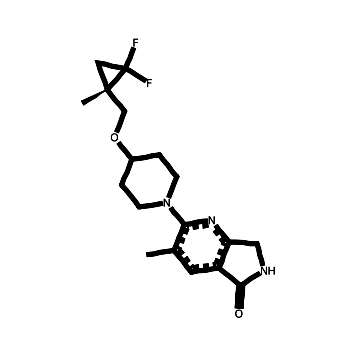 Cc1cc2c(nc1N1CCC(OC[C@]3(C)CC3(F)F)CC1)CNC2=O